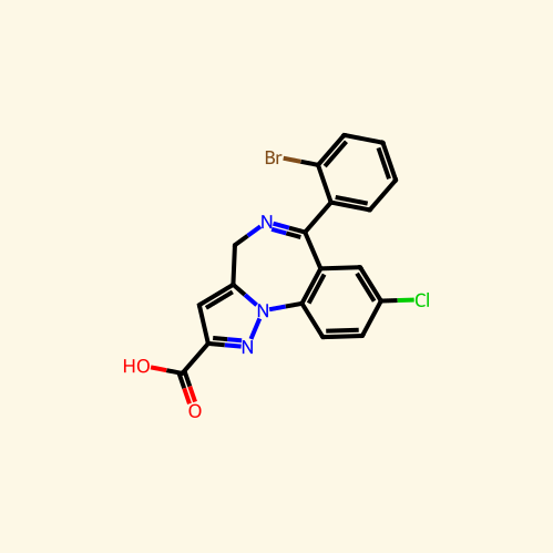 O=C(O)c1cc2n(n1)-c1ccc(Cl)cc1C(c1ccccc1Br)=NC2